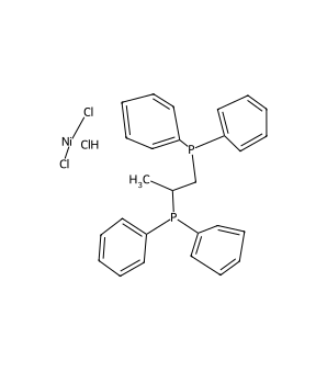 CC(CP(c1ccccc1)c1ccccc1)P(c1ccccc1)c1ccccc1.Cl.[Cl][Ni][Cl]